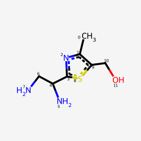 Cc1nc(C(N)CN)sc1CO